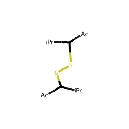 CC(=O)C(SSC(C(C)=O)C(C)C)C(C)C